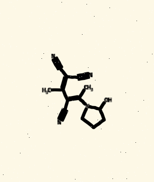 CC(=C(C#N)C#N)/C(C#N)=C(\C)N1CCCC1O